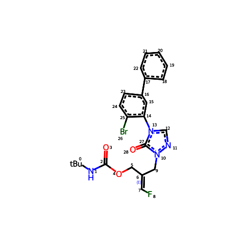 CC(C)(C)NC(=O)OC/C(=C/F)Cn1ncn(-c2cc(-c3ccccc3)ccc2Br)c1=O